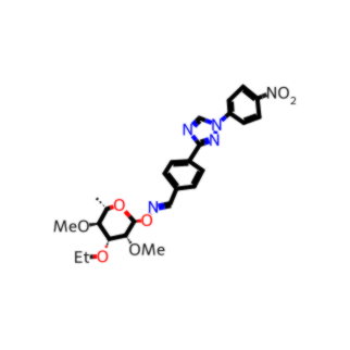 CCO[C@@H]1[C@@H](OC)[C@H](C)O[C@@H](O/N=C/c2ccc(-c3ncn(-c4ccc([N+](=O)[O-])cc4)n3)cc2)[C@@H]1OC